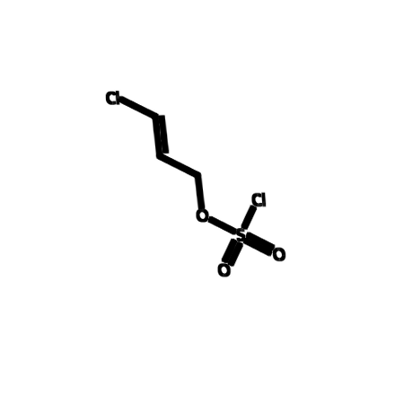 O=S(=O)(Cl)OCC=CCl